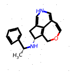 C[C@@H](N[C@@H]1CC2=CNC=C3C=COCC1=C32)c1ccccc1